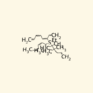 C=C/C=C\C=C(/C=C)S(CC)(C(/C=C\C=C/C)=C/C)C(C)(C)C(C)(C)CC=C